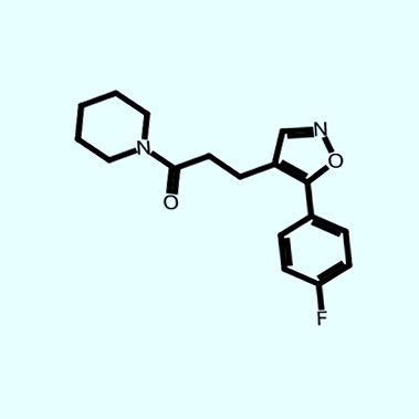 O=C(CCc1cnoc1-c1ccc(F)cc1)N1CCCCC1